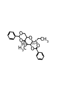 CCS[C@@H]1OC2COC(c3ccccc3)O[C@@H]2[C@H](C)C1OC(=O)c1ccccc1